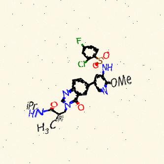 COc1ncc(-c2ccc3ncn(C[C@@H](C)C(=O)NC(C)C)c(=O)c3c2)cc1NS(=O)(=O)c1ccc(F)cc1Cl